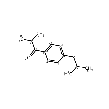 CC(C)Cc1ccc(C(=O)C(C)C)cc1